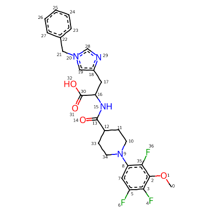 COc1c(F)c(F)cc(N2CCC(C(=O)NC(Cc3cn(Cc4ccccc4)cn3)C(=O)O)CC2)c1F